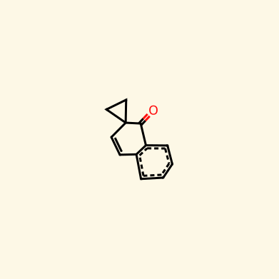 O=C1c2ccccc2C=CC12CC2